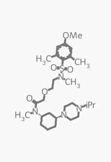 COc1cc(C)c(S(=O)(=O)N(C)CCOCC(=O)N(C)[C@H]2CCC[C@H](N3CCN(C(C)C)CC3)C2)c(C)c1